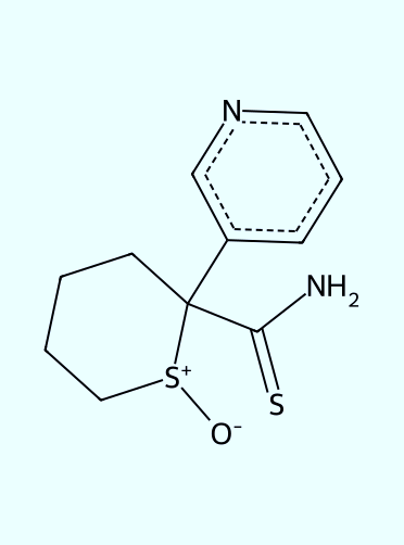 NC(=S)C1(c2cccnc2)CCCC[S+]1[O-]